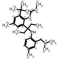 CCC(CC)(Pc1ccc(C)cc1CN(C)C)c1cc(C)cc(C(C)(C)C)c1OCOC